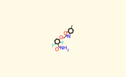 Cc1ccc2nc(COc3ccc(F)c(C(N)=O)c3F)oc2c1